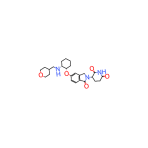 O=C1CCC(N2Cc3cc(O[C@H]4CCCC[C@H]4NCC4CCOCC4)ccc3C2=O)C(=O)N1